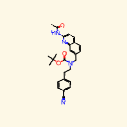 CC(=O)Nc1ccc2ccc(CN(CCc3ccc(C#N)cc3)C(=O)OC(C)(C)C)cc2n1